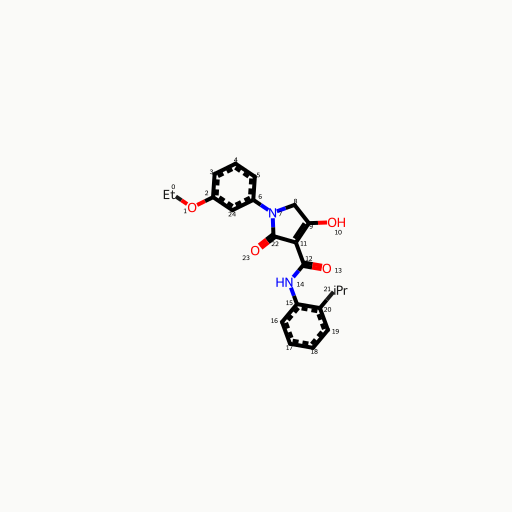 CCOc1cccc(N2CC(O)=C(C(=O)Nc3ccccc3C(C)C)C2=O)c1